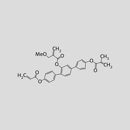 C=CC(=O)Oc1ccc(-c2ccc(-c3ccc(OC(=O)C(=C)C)cc3)cc2OC(=O)C(=C)COC)cc1